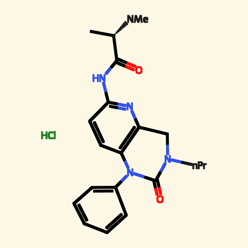 CCCN1Cc2nc(NC(=O)[C@H](C)NC)ccc2N(c2ccccc2)C1=O.Cl